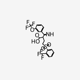 N=C(c1cccc(OC(F)(F)F)c1)C(CCS(=O)(=O)c1ccccc1C(F)(F)F)C(=O)O